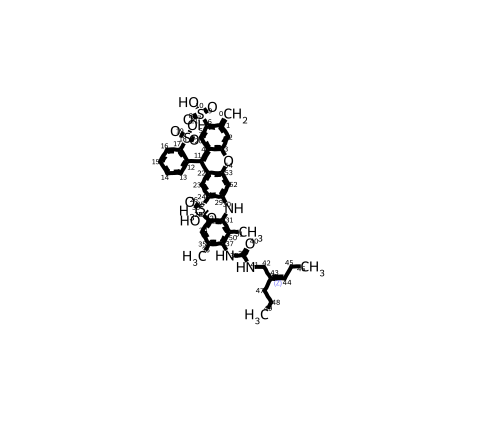 C=c1cc2c(cc1S(=O)(=O)O)=C(c1ccccc1S(=O)(=O)O)c1cc(S(=O)(=O)O)c(Nc3c(C)cc(C)c(NC(=O)NC/C(=C\CC)CCC)c3C)cc1O2